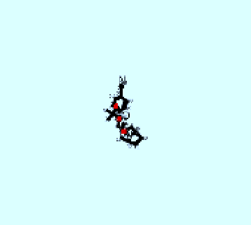 CC(C)(C)C(=O)CN1CC2CCC(C1)N2CCOc1ccc(C#N)cc1